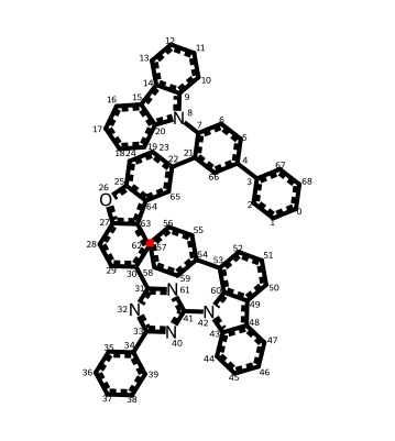 c1ccc(-c2ccc(-n3c4ccccc4c4ccccc43)c(-c3ccc4oc5ccc(-c6nc(-c7ccccc7)nc(-n7c8ccccc8c8cccc(-c9ccccc9)c87)n6)cc5c4c3)c2)cc1